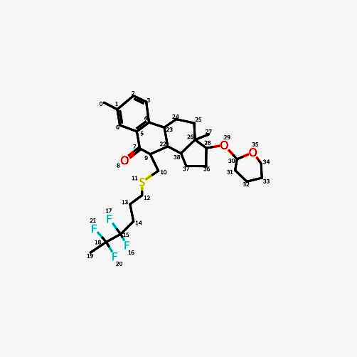 Cc1ccc2c(c1)C(=O)C(CSCCCC(F)(F)C(C)(F)F)C1C2CCC2(C)C(OC3CCCCO3)CCC12